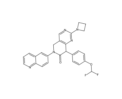 O=C1C(c2ccc(OC(F)F)cc2)c2nc(N3CCC3)ncc2CN1c1ccc2ncccc2c1